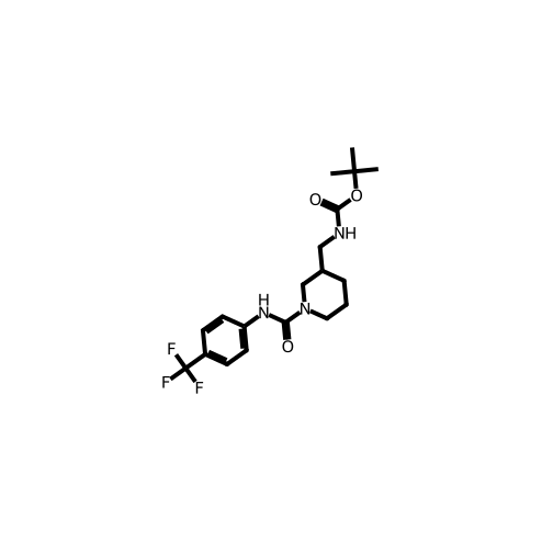 CC(C)(C)OC(=O)NCC1CCCN(C(=O)Nc2ccc(C(F)(F)F)cc2)C1